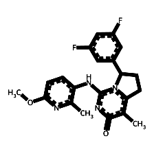 COc1ccc(Nc2nc(=O)c(C)c3n2C(c2cc(F)cc(F)c2)CC3)c(C)n1